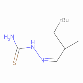 CC(/C=N\NC(N)=S)CC(C)(C)C